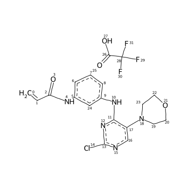 C=CC(=O)Nc1cccc(Nc2nc(Cl)ncc2N2CCOCC2)c1.O=C(O)C(F)(F)F